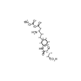 CC(C)(C)OC(=O)OC(=O)C[C@@H](N)CCc1ccc2c(c1)NC(=O)[C@@H](CCC(=O)O)O2